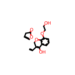 C=CC1=C(O)c2cccc(OCCO)c2OC1.O=C1CC=CO1